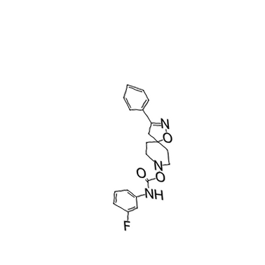 O=C(Nc1cccc(F)c1)ON1CCC2(CC1)CC(c1ccccc1)=NO2